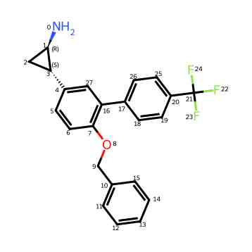 N[C@@H]1C[C@H]1c1ccc(OCc2ccccc2)c(-c2ccc(C(F)(F)F)cc2)c1